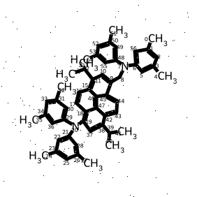 Cc1cc(C)cc(N(Cc2cc(C(C)C)c3ccc4c(N(c5cc(C)cc(C)c5)c5cc(C)cc(C)c5)cc(C(C)C)c5ccc2c3c54)c2cc(C)cc(C)c2)c1